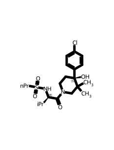 CCCS(=O)(=O)N[C@@H](C(=O)N1CC[C@](O)(c2ccc(Cl)cc2)C(C)(C)C1)C(C)C